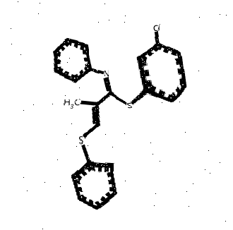 CC(=C\Sc1ccccc1)/C(=N\c1ccccc1)Sc1cccc(Cl)c1